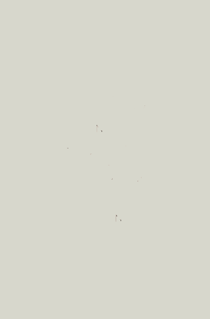 c1cncc(OCC2(N3CCCC3)CC2)c1